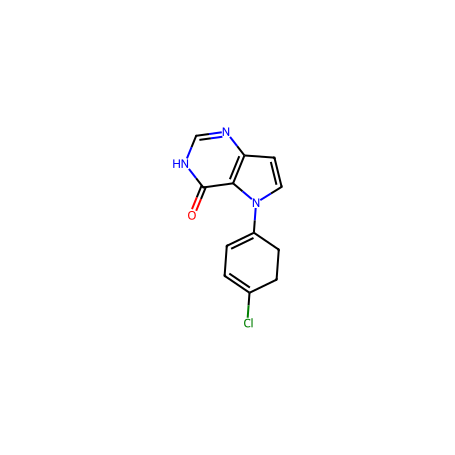 O=c1[nH]cnc2ccn(C3=CC=C(Cl)CC3)c12